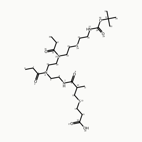 CCC(=O)N(CCNC(=O)C(C)CSCCC(=O)O)CCN(CCSCCNC(=O)OC(C)(C)C)C(=O)CC